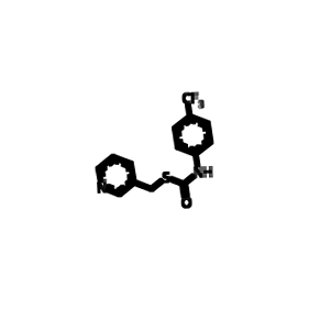 O=C(Nc1ccc(C(F)(F)F)cc1)SCc1cccnc1